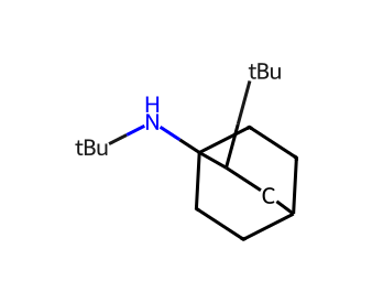 CC(C)(C)NC12CCC(CC1)CC2C(C)(C)C